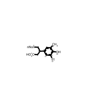 CCCCCCCCCCC(CC(=O)O)c1cc(C)c(O)c(CC)c1